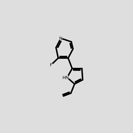 C=Cc1ccc(-c2ccncc2F)[nH]1